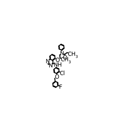 CCC(=O)N(CC(C)Oc1cccc2ncnc(Nc3ccc(OCc4cccc(F)c4)c(Cl)c3)c12)c1ccccc1